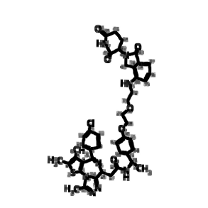 Cc1sc2c(c1C)C(c1ccc(Cl)cc1)=N[C@@H](CC(=O)N[C@H](C)c1ccc(OCCOCCNc3cccc4c3CN(C3CCC(=O)NC3=O)C4=O)cc1)c1nnc(C)n1-2